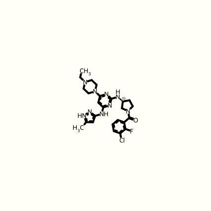 CCN1CCN(c2cc(Nc3cc(C)[nH]n3)nc(N[C@H]3CCN(C(=O)c4cccc(Cl)c4F)C3)n2)CC1